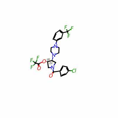 O=C(c1ccc(Cl)cc1)N1C[C@H](OC(=O)C(F)(F)F)[C@@H](N2CCN(c3cccc(C(F)(F)F)c3)CC2)C1